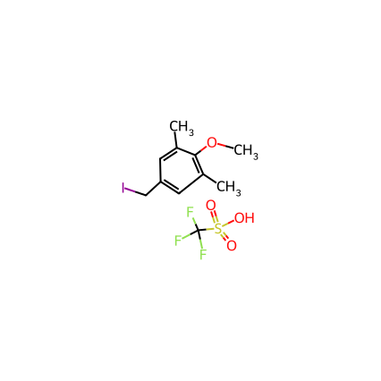 COc1c(C)cc(CI)cc1C.O=S(=O)(O)C(F)(F)F